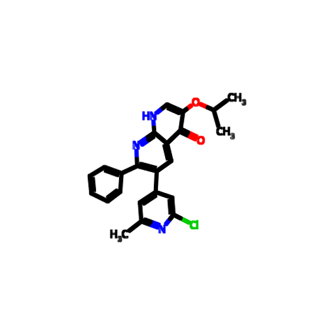 Cc1cc(-c2cc3c(=O)c(OC(C)C)c[nH]c3nc2-c2ccccc2)cc(Cl)n1